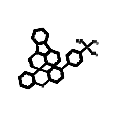 CS(C)(C)c1ccc(-c2ccc3c(c2)C2(c4ccccc4S3)c3ccccc3-n3c4ccccc4c4cccc2c43)cc1